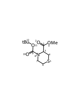 COC(=O)C1CSCCN1C(=O)OC(C)(C)C